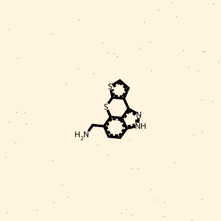 NCc1ccc2[nH]nc3c2c1Sc1sccc1-3